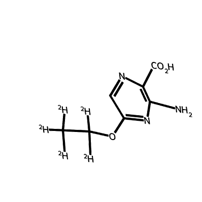 [2H]C([2H])([2H])C([2H])([2H])Oc1cnc(C(=O)O)c(N)n1